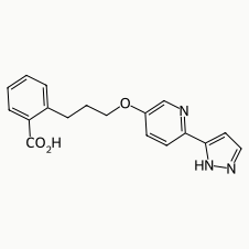 O=C(O)c1ccccc1CCCOc1ccc(-c2ccn[nH]2)nc1